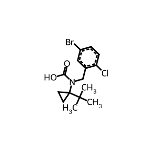 CC(C)(C)C1(N(Cc2cc(Br)ccc2Cl)C(=O)O)CC1